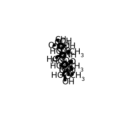 CO[C@@H]1OC(CO)[C@@H](O)[C@H](O[C@@H]2OC(OC=O)[C@@H](O[C@@H]3OC(CO)[C@@H](O)[C@H](O[C@@H]4OC(OC=O)[C@@H](OC)[C@H](O)C4O)C3NC(C)=O)[C@H](O)C2O)C1NC(C)=O